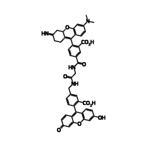 CN(C)c1ccc2c(c1)OC1CC(=N)CCC1=C2c1ccc(C(=O)NCC(=O)NCc2ccc(-c3c4ccc(=O)cc-4oc4cc(O)ccc34)c(C(=O)O)c2)cc1C(=O)O